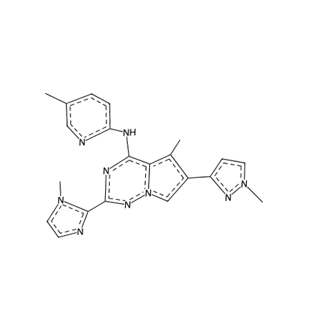 Cc1ccc(Nc2nc(-c3nccn3C)nn3cc(-c4ccn(C)n4)c(C)c23)nc1